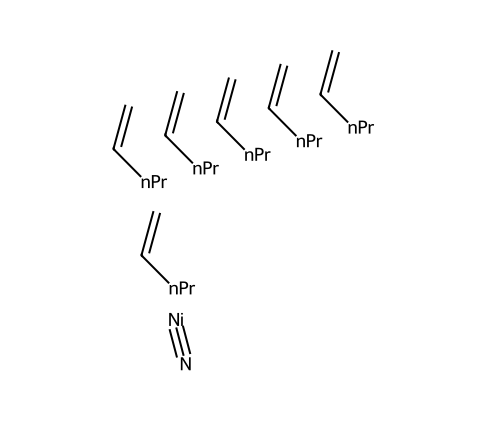 C=CCCC.C=CCCC.C=CCCC.C=CCCC.C=CCCC.C=CCCC.[N]#[Ni]